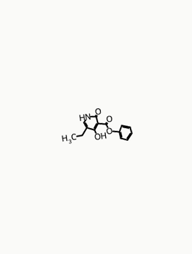 CCc1c[nH]c(=O)c(C(=O)Oc2ccccc2)c1O